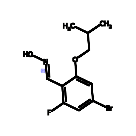 CC(C)COc1cc(Br)cc(F)c1/C=N/O